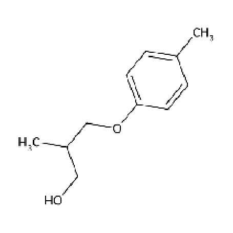 Cc1ccc(OCC(C)CO)cc1